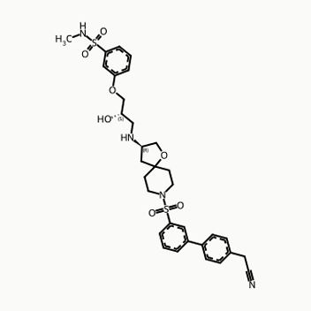 CNS(=O)(=O)c1cccc(OC[C@@H](O)CN[C@H]2COC3(CCN(S(=O)(=O)c4cccc(-c5ccc(CC#N)cc5)c4)CC3)C2)c1